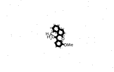 C=C1c2cccc(OC)c2Oc2ccc3cccc(C)c3c21